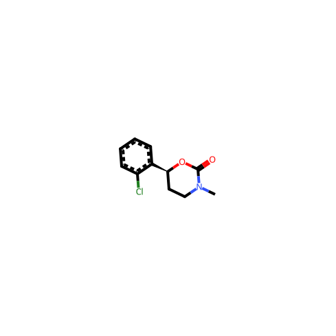 CN1CC[C@@H](c2ccccc2Cl)OC1=O